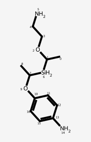 CC(OCCN)[SiH2]C(C)Oc1ccc(N)cc1